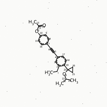 CCc1cc(C#Cc2ccc(OC(C)=O)cc2)ccc1C1(OC(C)C)CC1